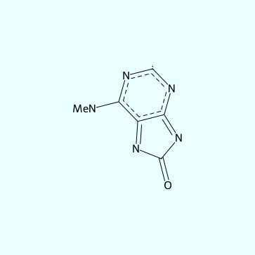 CNc1n[c]nc2c1=NC(=O)N=2